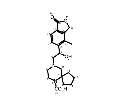 Cc1c([C@@H](O)CN2CCN(C(=O)O)C3(CCCC3)C2)ccc2c1COC2=O